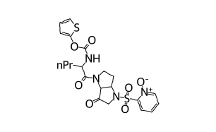 CCCC(NC(=O)Oc1cccs1)C(=O)N1CCC2C1C(=O)CN2S(=O)(=O)c1cccc[n+]1[O-]